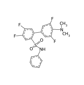 CN(C)c1c(F)cc(-c2cc(F)c(F)cc2S(=O)(=O)Nc2ccccc2)cc1F